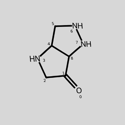 O=C1CNC2CNNC12